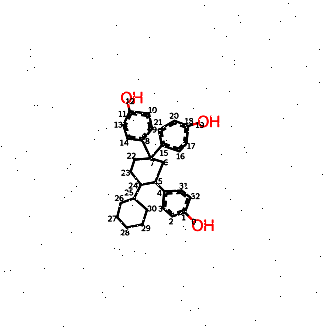 Oc1ccc(C2CC(c3ccc(O)cc3)(c3ccc(O)cc3)CCC2C2CCCCC2)cc1